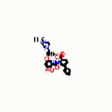 CN1CCN(CCCOc2ccc(O)c(C(=O)Nc3cc(-c4ccccc4)ccc3C(=O)OC(C)(C)C)c2)CC1